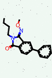 CCCCN1C(=O)c2ccc(-c3ccccc3)cc2C1=NOC